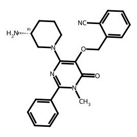 Cn1c(-c2ccccc2)nc(N2CCC[C@@H](N)C2)c(OCc2ccccc2C#N)c1=O